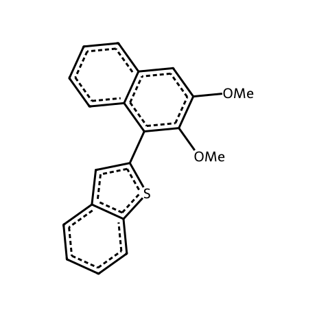 COc1cc2ccccc2c(-c2cc3ccccc3s2)c1OC